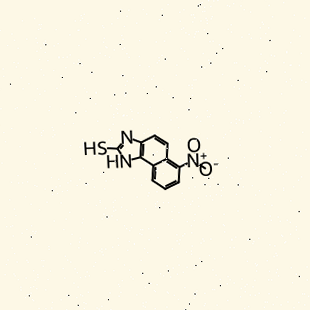 O=[N+]([O-])c1cccc2c1ccc1nc(S)[nH]c12